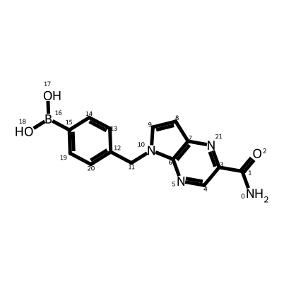 NC(=O)c1cnc2c(ccn2Cc2ccc(B(O)O)cc2)n1